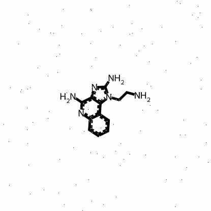 NCCn1c(N)nc2c(N)nc3ccccc3c21